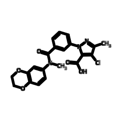 Cc1nn(-c2cccc(C(=O)N(C)c3ccc4c(c3)OCCO4)c2)c(C(=O)O)c1Cl